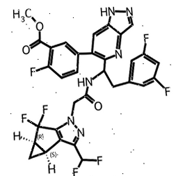 COC(=O)c1cc(-c2cc3[nH]ncc3nc2C(Cc2cc(F)cc(F)c2)NC(=O)Cn2nc(C(F)F)c3c2C(F)(F)[C@@H]2C[C@H]32)ccc1F